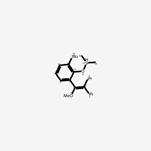 COC(=C(C(C)C)C(C)C)c1cccc(C(C)(C)C)c1O[SiH](C)C